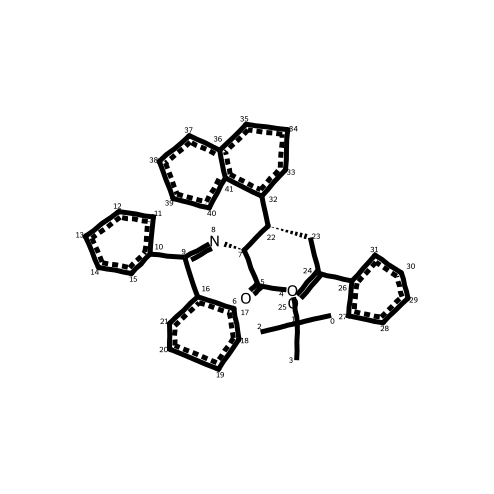 CC(C)(C)OC(=O)[C@H](N=C(c1ccccc1)c1ccccc1)[C@@H](CC(=O)c1ccccc1)c1cccc2ccccc12